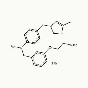 Br.CCCCCCCCCCCCOc1cccc(CN(C(C)=O)c2ccc(CN3C=C(C)SC3)cc2)c1